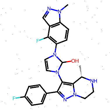 C[C@@H]1NCCn2nc(-c3ccc(F)cc3)c(N3C=CN(c4ccc5c(cnn5C)c4F)C3O)c21